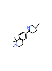 CC1CCC(c2ccc3c(c2)CCN(C)C3(C)C)=NC1